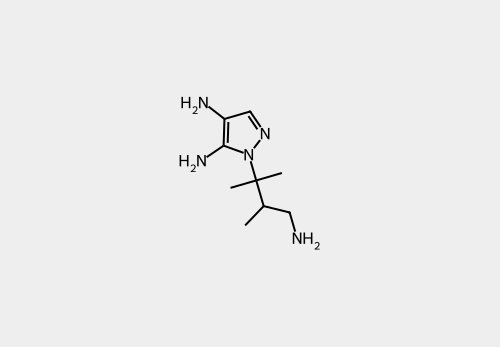 CC(CN)C(C)(C)n1ncc(N)c1N